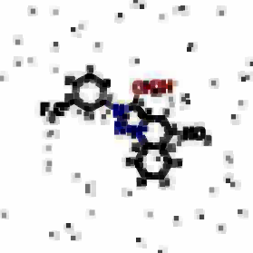 O=[N+]([O-])c1cc2c(O)n(-c3cccc(C(F)(F)F)c3)n[n+]2c2ccccc12.[OH-]